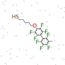 Cc1c(F)c(F)c(F)c(-c2c(F)c(F)c(OCCCCCS)c(F)c2F)c1F